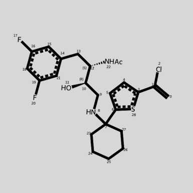 C=C(Cl)c1ccc(C2(NC[C@@H](O)[C@H](Cc3cc(F)cc(F)c3)NC(C)=O)CCCCC2)s1